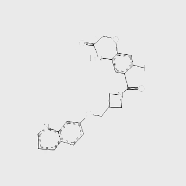 O=C1COc2cc(F)c(C(=O)N3CC(COc4ccc5cccnc5c4)C3)cc2N1